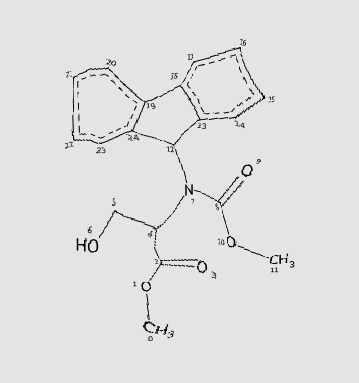 COC(=O)C(CO)N(C(=O)OC)C1c2ccccc2-c2ccccc21